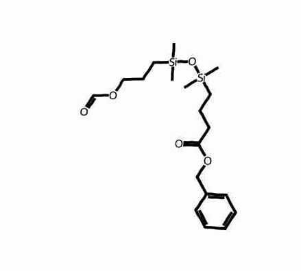 C[Si](C)(CCCOC=O)O[Si](C)(C)CCCC(=O)OCc1ccccc1